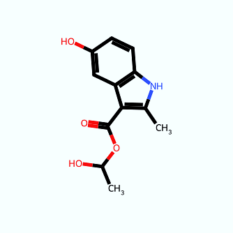 Cc1[nH]c2ccc(O)cc2c1C(=O)OC(C)O